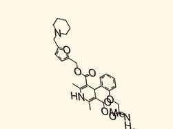 COC(=O)C1=C(C)NC(C)=C(C(=O)OCc2ccc(CN3CCCCC3)o2)C1c1ccccc1OCC(N)=O